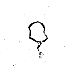 [CH2][C@H](C)N1CCCCC1